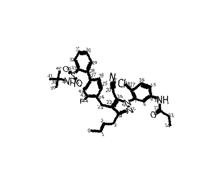 CCCCc1nn(-c2cc(NC(=O)CC)ccc2Cl)c(C#N)c1Cc1ccc(-c2ccccc2S(=O)(=O)NC(C)(C)C)cc1F